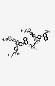 C=CC(=O)N1CC2(C1)CN(c1nc(OCCN(C)COc3cc(N4CCc5c(nc(OCCCN(C)C)nc5N5CCN(C(O)C=C)CC5)C4)c4ccccc4c3)nc3c1CCN(c1cc(O)cc4ccccc14)C3)C2